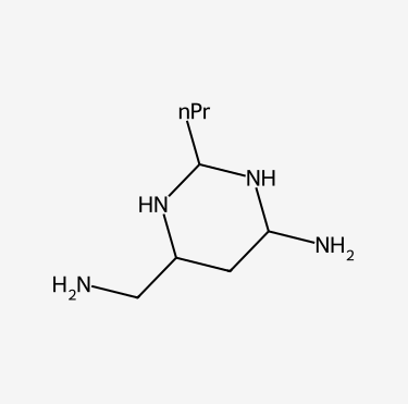 CCCC1NC(N)CC(CN)N1